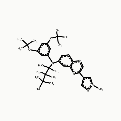 Cn1cc(-c2cnc3ccc(N(c4cc(OC(C)(C)C)cc(OC(C)(C)C)c4)C(C)(C)C(C)(C)C(C)(C)O)cc3n2)cn1